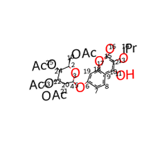 CC(=O)OC[C@H]1O[C@@H](Oc2ccc3c(O)c(OC(C)C)c(=O)oc3c2)[C@H](OC(C)=O)[C@@H](OC(C)=O)[C@H]1OC(C)=O